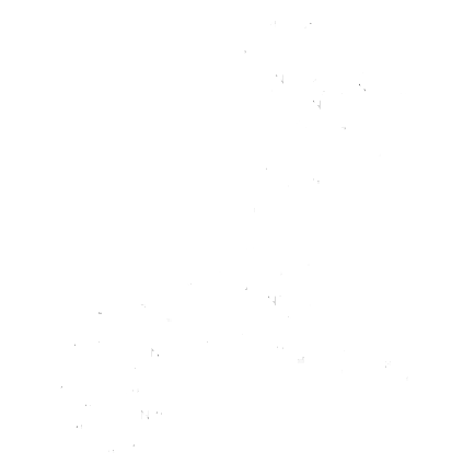 c1ccc(-c2ccc(N(c3ccc(-c4ccc5c(c4)c4cccnc4n5-c4ccccn4)cc3)c3ccc(-c4ccc5ccc6cccnc6c5n4)cc3)cc2)cc1